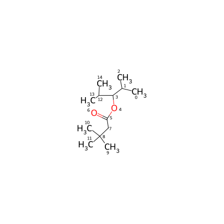 CC(C)C(OC(=O)CC(C)(C)C)C(C)C